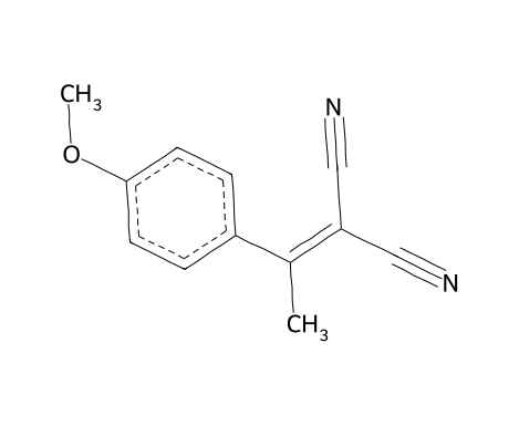 COc1ccc(C(C)=C(C#N)C#N)cc1